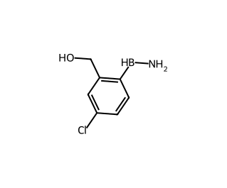 NBc1ccc(Cl)cc1CO